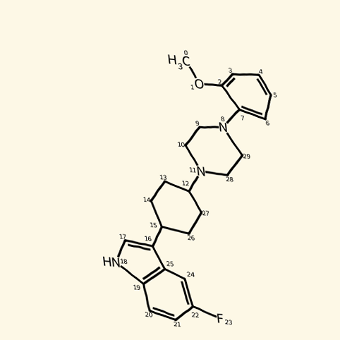 COc1ccccc1N1CCN(C2CCC(c3c[nH]c4ccc(F)cc34)CC2)CC1